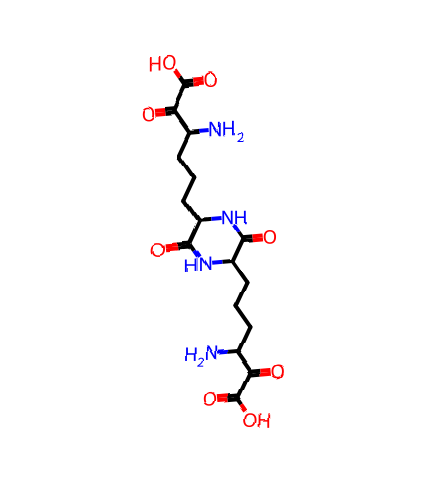 NC(CCCC1NC(=O)C(CCCC(N)C(=O)C(=O)O)NC1=O)C(=O)C(=O)O